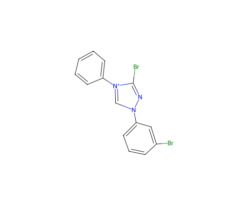 Brc1cccc(-n2c[n+](-c3ccccc3)c(Br)n2)c1